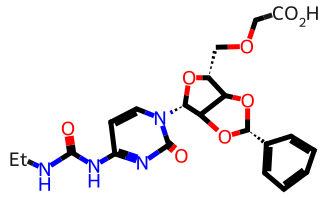 CCNC(=O)Nc1ccn([C@@H]2O[C@H](COCC(=O)O)C3O[C@H](c4ccccc4)OC32)c(=O)n1